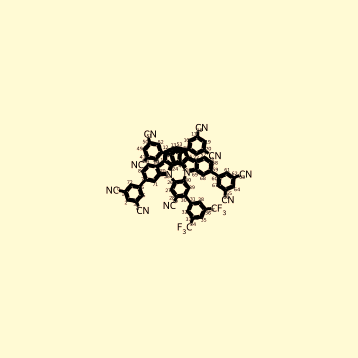 N#Cc1cc(C#N)cc(-c2ccc3c4ccc(-c5cc(C#N)cc(C#N)c5)cc4n(-c4cc(C#N)c(-c5cc(C(F)(F)F)cc(C(F)(F)F)c5)cc4-n4c5cc(-c6cc(C#N)cc(C#N)c6)ccc5c5ccc(-c6cc(C#N)cc(C#N)c6)cc54)c3c2)c1